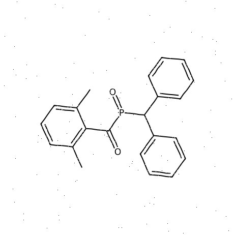 Cc1cccc(C)c1C(=O)[P](=O)C(c1ccccc1)c1ccccc1